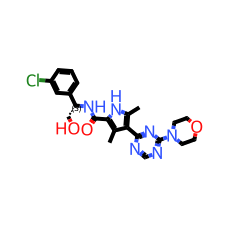 Cc1[nH]c(C(=O)N[C@H](CO)c2cccc(Cl)c2)c(C)c1-c1ncnc(N2CCOCC2)n1